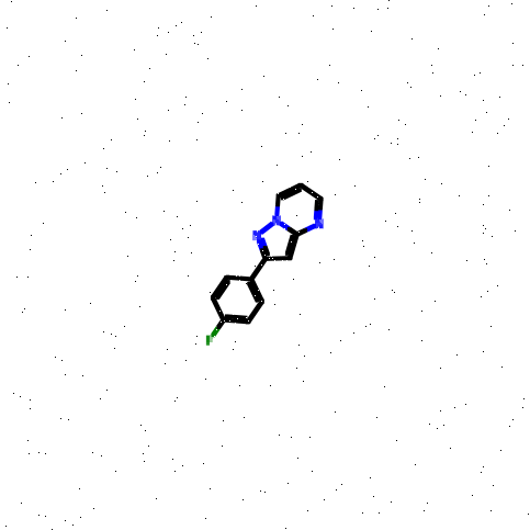 Fc1ccc(-c2cc3ncccn3n2)cc1